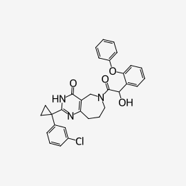 O=C(C(O)c1ccccc1Oc1ccccc1)N1CCCc2nc(C3(c4cccc(Cl)c4)CC3)[nH]c(=O)c2C1